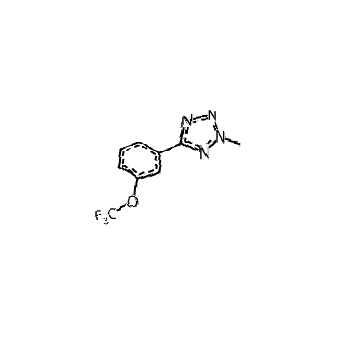 Cn1nnc(-c2cccc(OC(F)(F)F)c2)n1